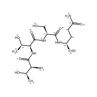 C[C@@H](O)[C@H](N)C(=O)N[C@H](C(=O)N[C@@H](CO)C(=O)N[C@H]([C]=O)CCC(N)=O)[C@@H](C)O